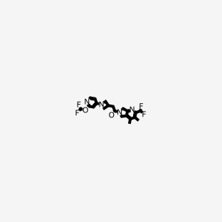 Cc1c(C(F)F)nc2c(c1C)CN(C(=O)CC1CN(c3ccnc(OC(F)F)c3)C1)C2